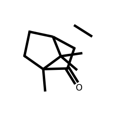 CC.CC12CCC(CC1=O)C2(C)C